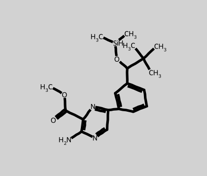 COC(=O)c1nc(-c2cccc(C(O[SiH](C)C)C(C)(C)C)c2)cnc1N